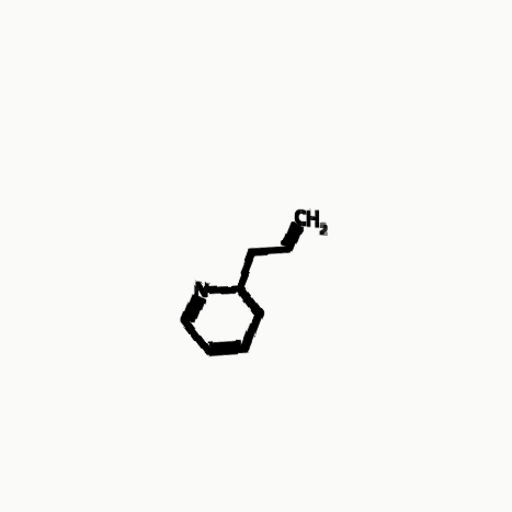 C=CCC1CC=CC=N1